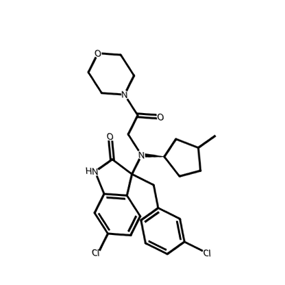 CC1CC[C@@H](N(CC(=O)N2CCOCC2)C2(Cc3cccc(Cl)c3)C(=O)Nc3cc(Cl)ccc32)C1